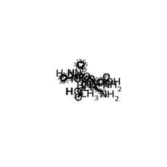 CC(=O)O.CC(C)C[C@@H](NC(=O)[C@@H](Cc1ccccc1)NC(=O)[C@H](N)Cc1ccccc1)C(=O)N[C@H](CCCCN)C(=O)N1CCC(N)(C(=O)O)CC1